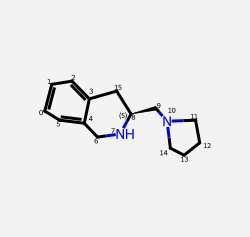 c1ccc2c(c1)CN[C@H](CN1CCCC1)C2